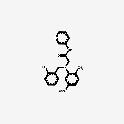 COc1ccc(C)c(N(CC(=O)Nc2cccnc2)Cc2ccccc2C)c1